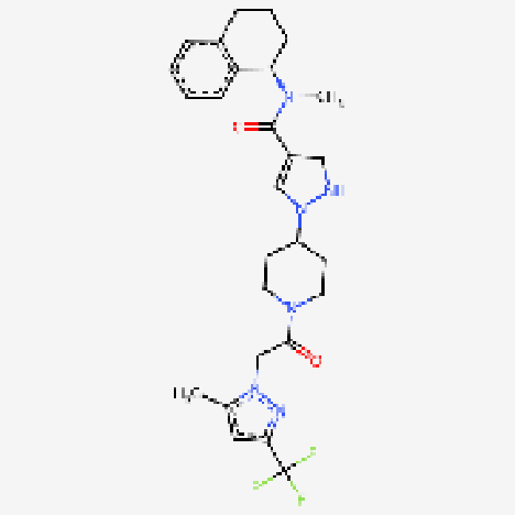 Cc1cc(C(F)(F)F)nn1CC(=O)N1CCC(N2C=C(C(=O)N(C)[C@@H]3CCCc4ccccc43)CN2)CC1